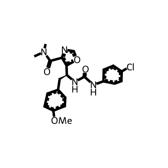 COc1ccc(C[C@H](NC(=O)Nc2ccc(Cl)cc2)c2ocnc2C(=O)N(C)C)cc1